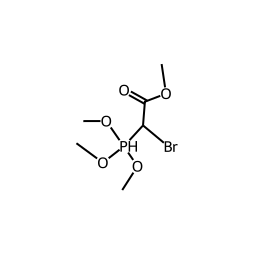 COC(=O)C(Br)[PH](OC)(OC)OC